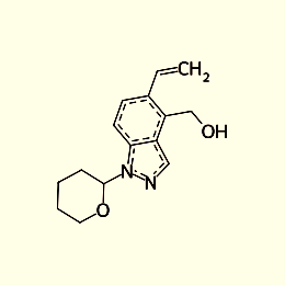 C=Cc1ccc2c(cnn2C2CCCCO2)c1CO